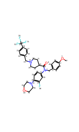 COc1ccc(CN(C(=O)C2CCN(Cc3ccc(C(F)(F)F)cc3)CC2)c2ccc(N3CCOCC3)c(F)c2)cc1